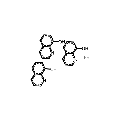 Oc1cccc2cccnc12.Oc1cccc2cccnc12.Oc1cccc2cccnc12.[Pb]